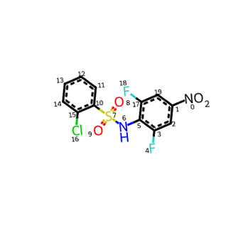 O=[N+]([O-])c1cc(F)c(NS(=O)(=O)c2ccccc2Cl)c(F)c1